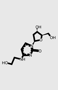 O=c1nc(NCCO)ccn1[C@H]1C[C@H](O)[C@@H](CO)O1